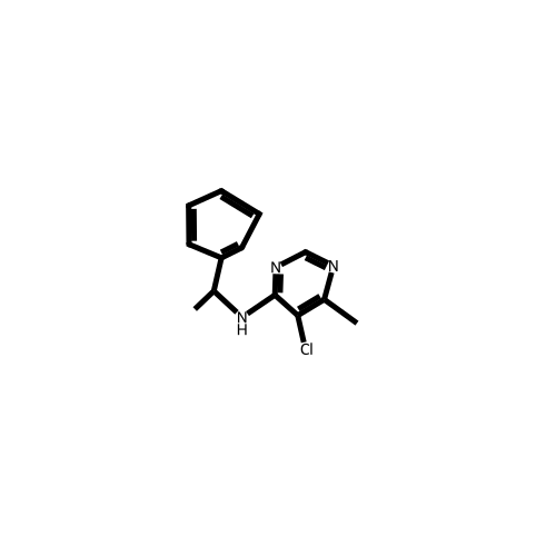 Cc1ncnc(NC(C)c2ccccc2)c1Cl